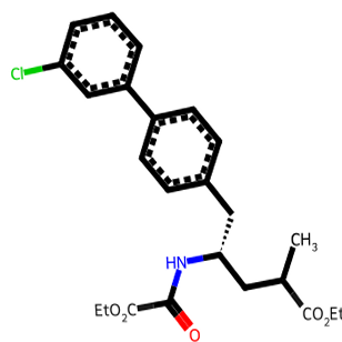 CCOC(=O)C(=O)N[C@H](Cc1ccc(-c2cccc(Cl)c2)cc1)CC(C)C(=O)OCC